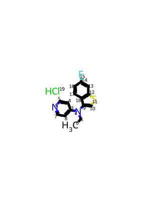 CCN(c1ccncc1)c1csc2cc(F)ccc12.Cl